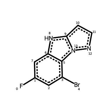 Fc1cc(Br)c2c(c1)[nH]c1ccnn12